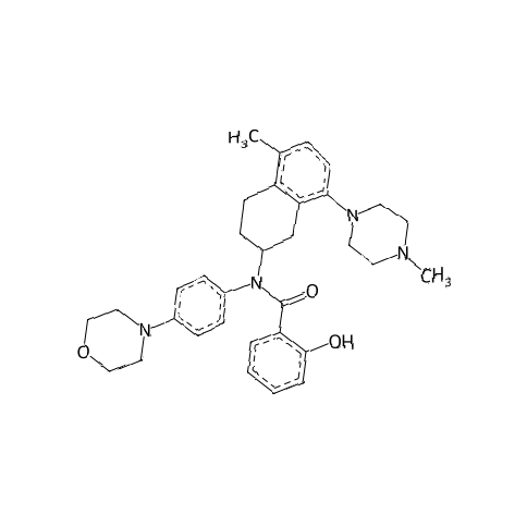 Cc1ccc(N2CCN(C)CC2)c2c1CCC(N(C(=O)c1ccccc1O)c1ccc(N3CCOCC3)cc1)C2